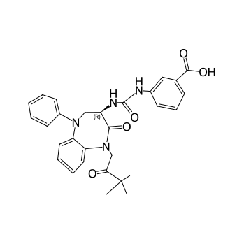 CC(C)(C)C(=O)CN1C(=O)[C@H](NC(=O)Nc2cccc(C(=O)O)c2)CN(c2ccccc2)c2ccccc21